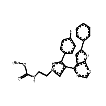 CC(C)(C)OC(=O)NCCn1cc(-c2ncnc3oc(-c4ccccc4)cc23)c(-c2ccc(F)cc2)n1